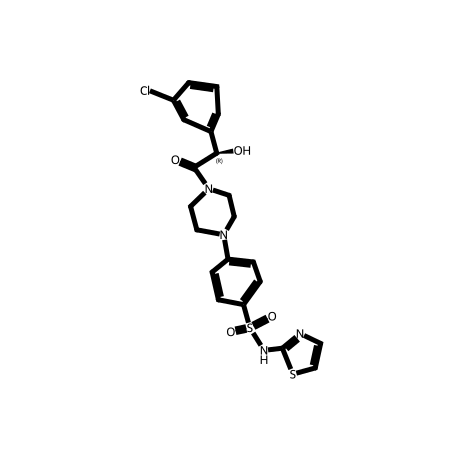 O=C([C@H](O)c1cccc(Cl)c1)N1CCN(c2ccc(S(=O)(=O)Nc3nccs3)cc2)CC1